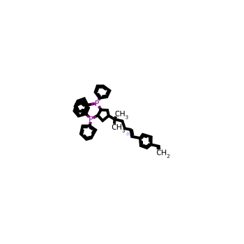 C=Cc1ccc(/C=C/CCC(C)(C)C2CC(P(c3ccccc3)c3ccccc3)C(P(c3ccccc3)c3ccccc3)C2)cc1